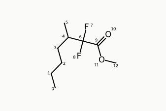 CCCCC(C)C(F)(F)C(=O)OC